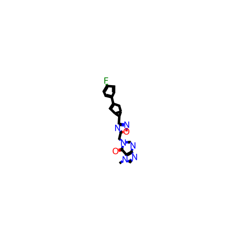 Cn1cnc2ncn(Cc3nc(C4C5C=C(c6ccc(F)cc6)CC54)no3)c(=O)c21